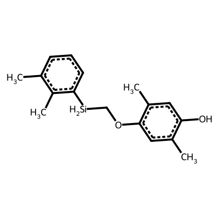 Cc1cc(OC[SiH2]c2cccc(C)c2C)c(C)cc1O